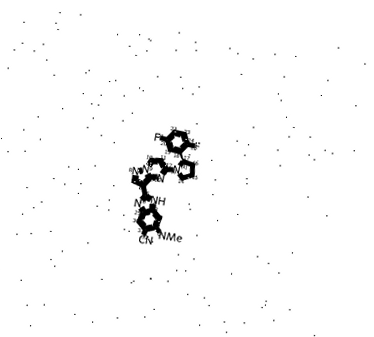 CNc1cc2[nH]c(-c3cnn4ccc(N5CCC[C@@H]5c5cc(F)ccc5F)nc34)nc2cc1C#N